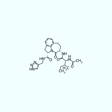 CCC(C)[C@H](NC(C)=O)C(=O)N[C@H]1CCc2cccc3c2N(C1=O)[C@H](C(=O)NCc1c[nH]nn1)C3